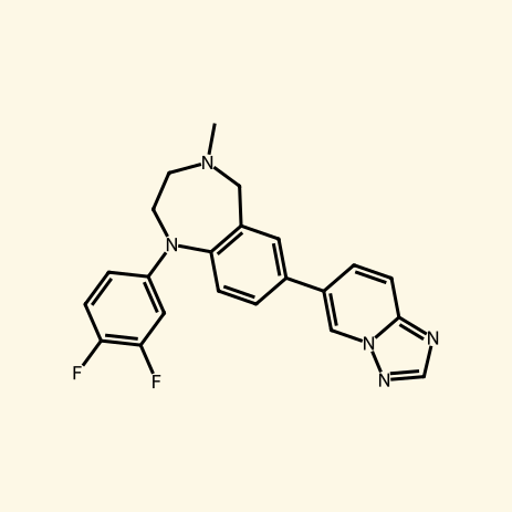 CN1CCN(c2ccc(F)c(F)c2)c2ccc(-c3ccc4ncnn4c3)cc2C1